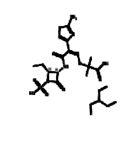 CCN(CC)CC.CC[C@H]1[C@H](NC(=O)C(=NOC(C)(C)C(=O)O)c2csc(N)n2)C(=O)N1S(=O)(=O)O